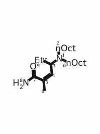 CCCCCCCCN(CCCCCCCC)C(C=C(C)C(N)=O)CC